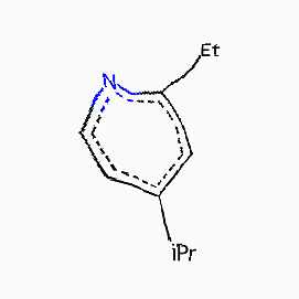 CCc1cc(C(C)C)ccn1